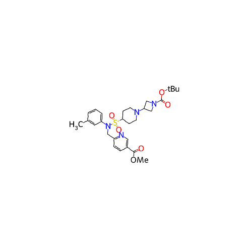 COC(=O)c1ccc(CN(c2cccc(C)c2)S(=O)(=O)C2CCN(C3CN(C(=O)OC(C)(C)C)C3)CC2)nc1